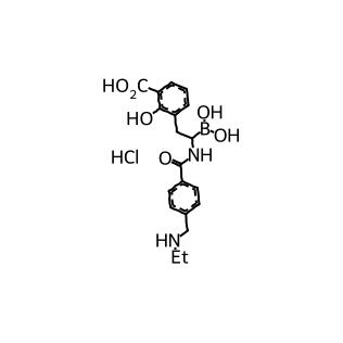 CCNCc1ccc(C(=O)NC(Cc2cccc(C(=O)O)c2O)B(O)O)cc1.Cl